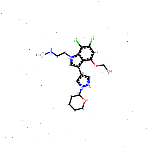 N#CCOc1cc(Cl)c(Cl)c2c1c(-c1cnn(C3CCCCO3)c1)cn2CCNC(=O)O